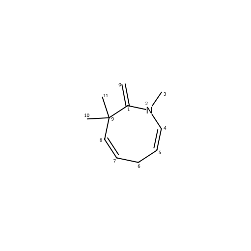 C=C1N(C)/C=C\C/C=C\C1(C)C